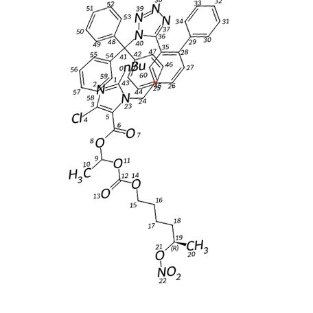 CCCCc1nc(Cl)c(C(=O)OC(C)OC(=O)OCCCC[C@@H](C)O[N+](=O)[O-])n1Cc1ccc(-c2ccccc2)c(-c2nnnn2C(c2ccccc2)(c2ccccc2)c2ccccc2)c1